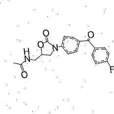 CC(=O)NCC1CN(c2ccc(C(=O)c3ccc(F)cc3)cc2)C(=O)O1